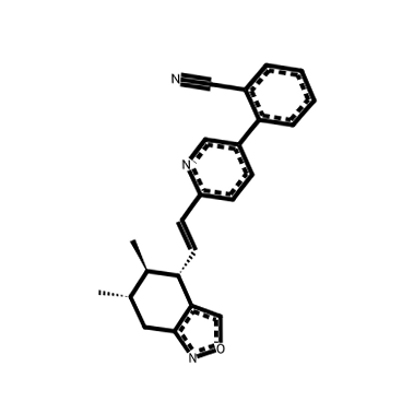 C[C@H]1[C@H](/C=C/c2ccc(-c3ccccc3C#N)cn2)c2conc2C[C@@H]1C